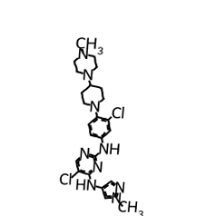 CN1CCN(C2CCN(c3ccc(Nc4ncc(Cl)c(Nc5cnn(C)c5)n4)cc3Cl)CC2)CC1